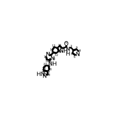 O=C(NCc1ccncc1)c1cc2ccc(-c3nccc(Nc4ccc5[nH]ncc5c4)n3)cc2[nH]1